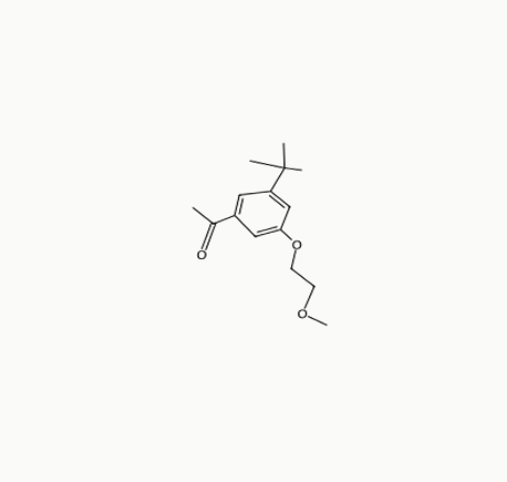 COCCOc1cc(C(C)=O)cc(C(C)(C)C)c1